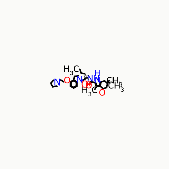 CCCC[C@H](NC(=O)c1[nH]c2c(c1C)C(=O)CC(C)(C)C2)C(=O)N1CCc2c(OCCN3CCCC3)cccc21